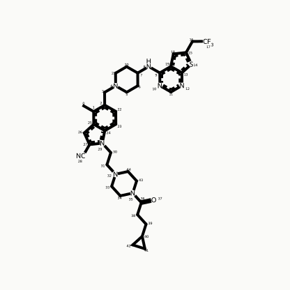 Cc1c(CN2CCC(Nc3ncnc4sc(CC(F)(F)F)cc34)CC2)ccc2c1cc(C#N)n2CCN1CCN(C(=O)CCC2CC2)CC1